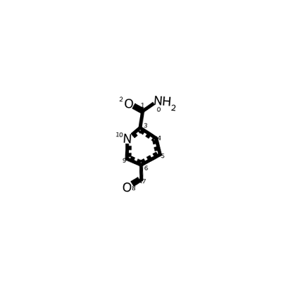 NC(=O)c1ccc([C]=O)cn1